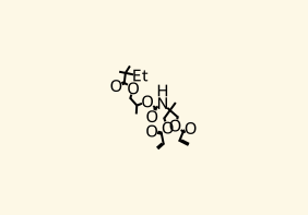 C=CC(=O)OCC(C)(COC(=O)C=C)NC(=O)OC(C)COC(=O)C(C)(C)CC